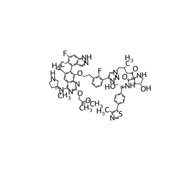 CO[C@@H](C)COc1nc(N(C)[C@H]2CCNC2)c2cc(C3CC3)c(-c3c(C)c(F)cc4[nH]ncc34)c(OCCc3cccc(-c4cn(CC(C)CC(=O)[C@]5(C(=O)N[C@@H](CO)c6ccc(-c7scnc7C)cc6)CC(O)CN5)nn4)c3F)c2n1